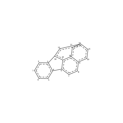 c1ccc2c(c1)-c1ccc3ccc4cc-2c1c3c4